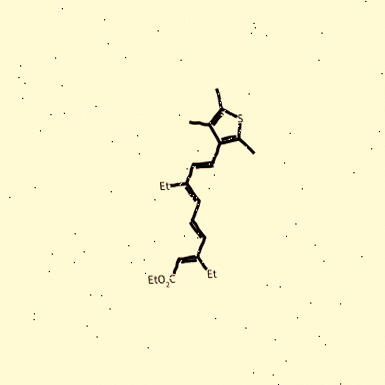 CCOC(=O)C=C(C=CC=C(C=Cc1c(C)sc(C)c1C)CC)CC